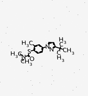 Cc1cc(-n2ccc(C(C)(C)C)n2)ccc1SC(=O)N(C)C